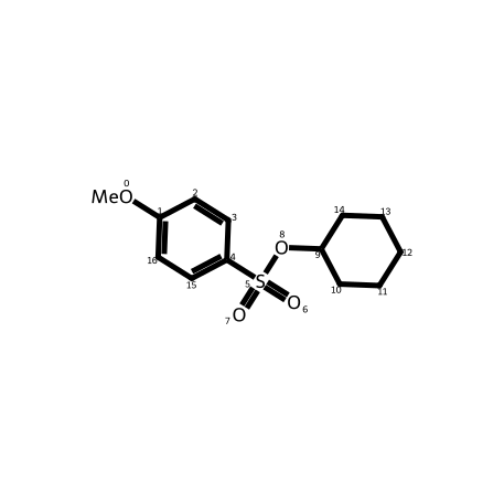 COc1ccc(S(=O)(=O)OC2CCCCC2)cc1